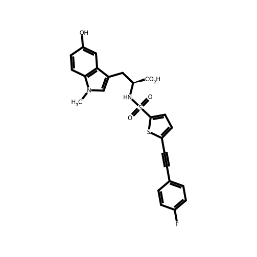 Cn1cc(C[C@H](NS(=O)(=O)c2ccc(C#Cc3ccc(F)cc3)s2)C(=O)O)c2cc(O)ccc21